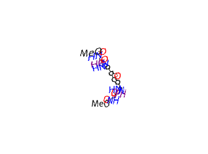 COC(=O)NCCC(=O)Pc1ncc(-c2ccc3c4c(ccc3c2)-c2ccc(-c3ccc5nc(PC(=O)CCNC(=O)OC)[nH]c5c3)cc2CO4)[nH]1